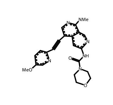 CNc1ncc(C#Cc2ccc(OC)cn2)c2cc(NC(=O)N3CCOCC3)ncc12